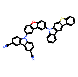 N#Cc1ccc2c(c1)c1cc(C#N)ccc1n2-c1ccc2oc3ccc(-n4c5ccccc5c5cc6c(cc54)sc4ccccc46)cc3c2c1